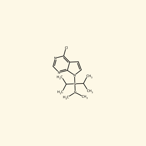 CC(C)[Si](C(C)C)(N(C)C)n1ccc2c(Cl)ncnc21